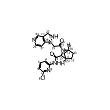 O=C(Nc1cccc(Cl)n1)C1[C@H]2CC[C@H](C2)N1C(=O)CN1NCc2cnccc21